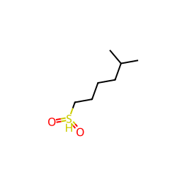 CC(C)CCCC[SH](=O)=O